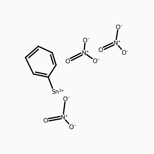 O=[N+]([O-])[O-].O=[N+]([O-])[O-].O=[N+]([O-])[O-].[Sn+3][c]1ccccc1